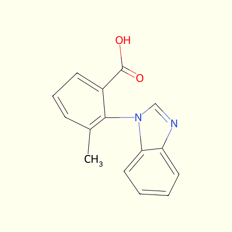 Cc1cccc(C(=O)O)c1-n1cnc2ccccc21